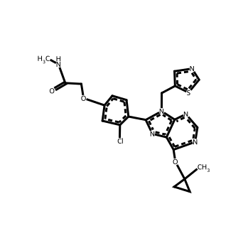 CNC(=O)COc1ccc(-c2nc3c(OC4(C)CC4)ncnc3n2Cc2cncs2)c(Cl)c1